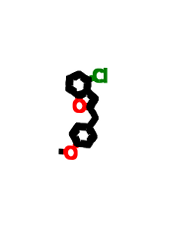 COc1ccc(Cc2cc3c(Cl)cccc3o2)cc1